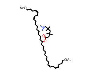 CC(=O)OCCC/C=C\C/C=C\CCCCCCCCC(CCCCCCCC/C=C\C/C=C\CCCOC(C)=O)OC(=O)CC(C)(C)CC(C)(C)CN(C)C